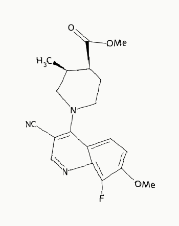 COC(=O)[C@H]1CCN(c2c(C#N)cnc3c(F)c(OC)ccc23)C[C@H]1C